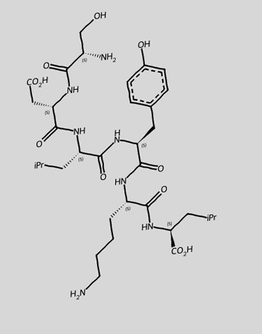 CC(C)C[C@H](NC(=O)[C@H](CCCCN)NC(=O)[C@H](Cc1ccc(O)cc1)NC(=O)[C@H](CC(C)C)NC(=O)[C@H](CC(=O)O)NC(=O)[C@@H](N)CO)C(=O)O